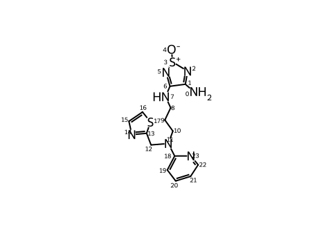 Nc1n[s+]([O-])nc1NCCCN(Cc1nccs1)c1ccccn1